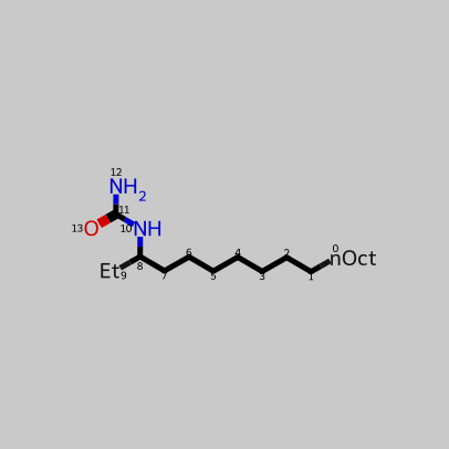 CCCCCCCCCCCCCCCC(CC)NC(N)=O